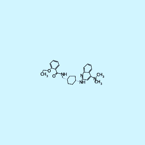 CCOc1ccccc1C(=O)NC[C@H]1CC[C@@H](Nc2cc(N(C)C)c3ccccc3n2)CC1